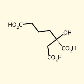 O=C(O)CCC[C@@](O)(CC(=O)O)C(=O)O